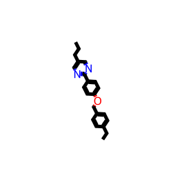 CCCc1cnc(-c2ccc(OCc3ccc(CC)cc3)cc2)nc1